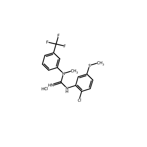 CSc1ccc(Cl)c(NC(=N)N(C)c2cccc(C(F)(F)F)c2)c1.Cl